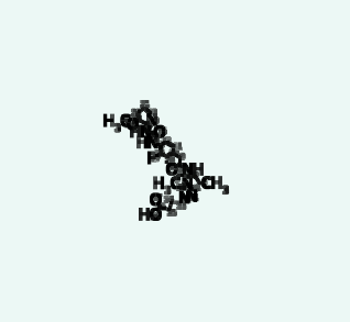 CCCC(CC)(NC(=O)Cc1ccc(NC(=O)Nc2ncccc2OC)c(F)c1)N1C=NN(CCCC(=O)O)C1